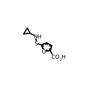 O=C(O)c1ccc(SNC2CC2)o1